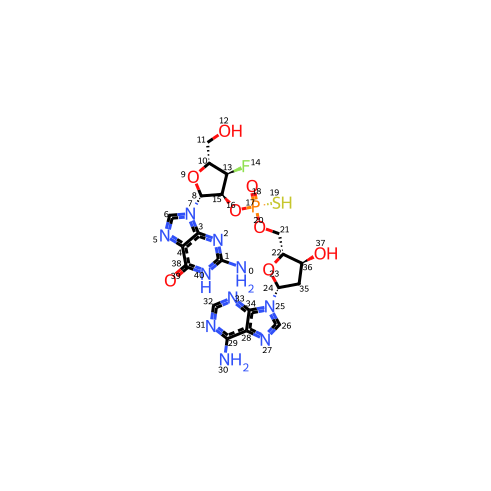 Nc1nc2c(ncn2[C@@H]2O[C@H](CO)[C@@H](F)[C@H]2O[P@](=O)(S)OC[C@H]2O[C@@H](n3cnc4c(N)ncnc43)C[C@@H]2O)c(=O)[nH]1